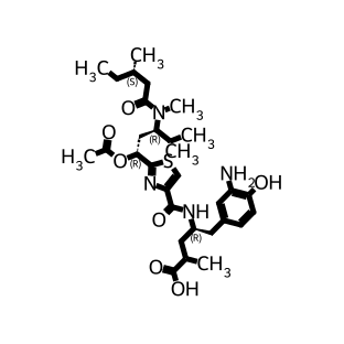 CC[C@H](C)CC(=O)N(C)[C@H](C[C@@H](OC(C)=O)c1nc(C(=O)N[C@@H](Cc2ccc(O)c(N)c2)CC(C)C(=O)O)cs1)C(C)C